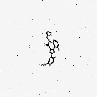 CC(=O)Nc1cc(-c2cc(C(=O)NCc3ccco3)c(-c3ccccc3Cl)o2)c(C)cn1